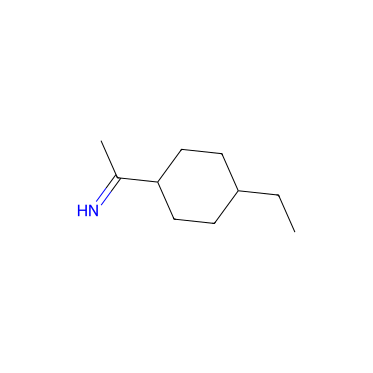 CCC1CCC(C(C)=N)CC1